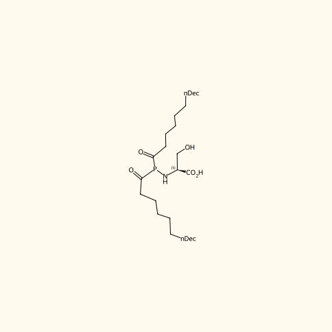 CCCCCCCCCCCCCCCC(=O)P(N[C@@H](CO)C(=O)O)C(=O)CCCCCCCCCCCCCCC